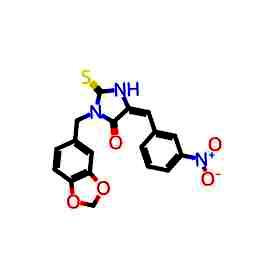 O=C1/C(=C\c2cccc([N+](=O)[O-])c2)NC(=S)N1Cc1ccc2c(c1)OCO2